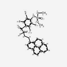 CO[As](=O)(OC)Oc1c(F)c(F)c(C(=O)C(F)(F)CCc2ccc3ccc4cccc5ccc2c3c45)c(F)c1F